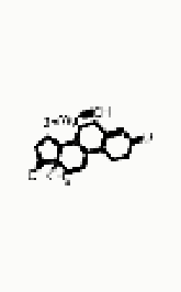 C#[C][Mg][Br].C[C@]12CCC3C4CCC(=O)C=C4CCC3C1CCC2=O